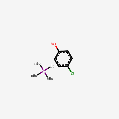 CCCC[P](CC)(CCCC)CCCC.Oc1ccc(Cl)cc1